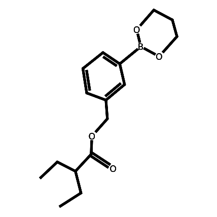 CCC(CC)C(=O)OCc1cccc(B2OCCCO2)c1